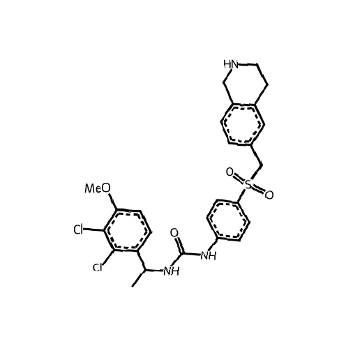 COc1ccc(C(C)NC(=O)Nc2ccc(S(=O)(=O)Cc3ccc4c(c3)CCNC4)cc2)c(Cl)c1Cl